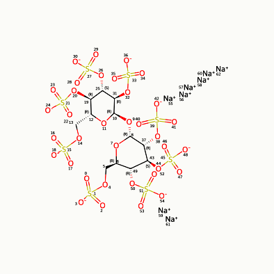 O=S(=O)([O-])OC[C@H]1O[C@H](O[C@H]2O[C@H](COS(=O)(=O)[O-])[C@@H](OS(=O)(=O)[O-])[C@H](OS(=O)(=O)[O-])[C@H]2OS(=O)(=O)[O-])[C@H](OS(=O)(=O)[O-])[C@@H](OS(=O)(=O)[O-])[C@@H]1OS(=O)(=O)[O-].[Na+].[Na+].[Na+].[Na+].[Na+].[Na+].[Na+].[Na+]